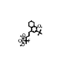 COc1c(C(C)(C)C)cc(C=CC(=O)C(C)(F)P(=O)(OC)OC)c2c1CCCC2